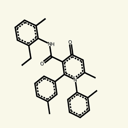 CCc1cccc(C)c1NC(=O)c1c(-c2cccc(C)c2)n(-c2ccccc2C)c(C)cc1=O